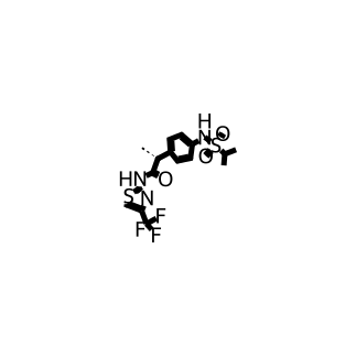 CC(C)S(=O)(=O)Nc1ccc([C@@H](C)C(=O)Nc2nc(C(F)(F)F)cs2)cc1